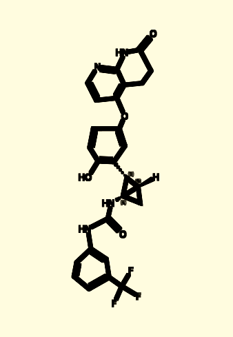 O=C1CCc2c(Oc3ccc(O)c([C@@H]4[C@@H]5C[C@@]45NC(=O)Nc4cccc(C(F)(F)F)c4)c3)ccnc2N1